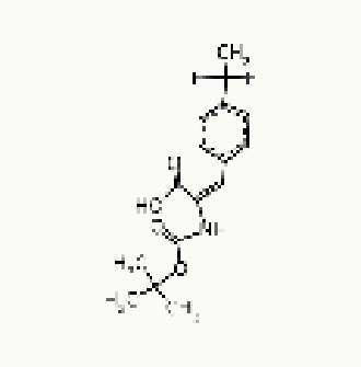 CC(C)(C)OC(=O)N/C(=C/c1ccc(C(C)(F)F)cc1)C(=O)O